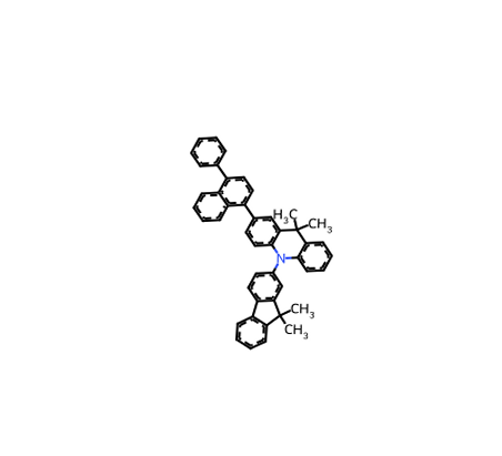 CC1(C)c2ccccc2-c2ccc(N3c4ccccc4C(C)(C)c4cc(-c5ccc(-c6ccccc6)c6ccccc56)ccc43)cc21